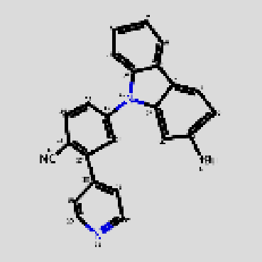 CC(C)(C)c1ccc2c3ccccc3n(-c3ccc(C#N)c(-c4ccncc4)c3)c2c1